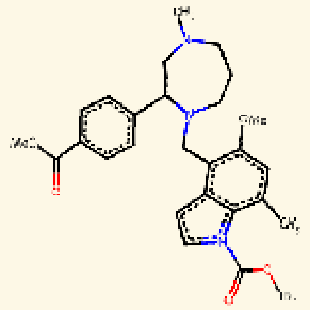 COC(=O)c1ccc(C2CN(C)CCCN2Cc2c(OC)cc(C)c3c2ccn3C(=O)OC(C)(C)C)cc1